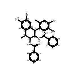 Cc1cc(Br)c(Br)cc1C1c2cc(Br)c(Br)cc2C(C)C(OC(=O)c2ccccc2)C1OC(=O)c1ccccc1